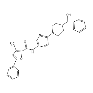 O=C(Nc1ccc(N2CCC(C(O)c3ccccc3)CC2)nc1)c1oc(-c2ccccc2)nc1C(F)(F)F